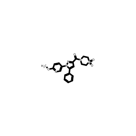 COc1ccc(-n2nc(C(=O)N3CCS(=O)(=O)CC3)cc2-c2ccccc2)cn1